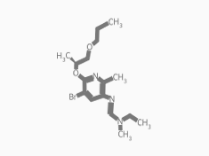 CCCOC[C@H](C)Oc1nc(C)c(N=CN(C)CC)cc1Br